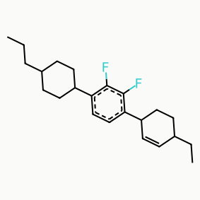 CCCC1CCC(c2ccc(C3C=CC(CC)CC3)c(F)c2F)CC1